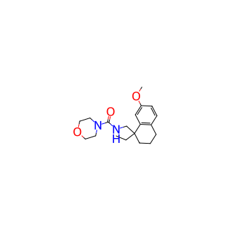 CCC1(CNC(=O)N2CCOCC2)CCCc2ccc(OC)cc21